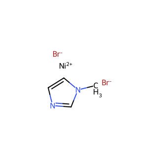 Cn1ccnc1.[Br-].[Br-].[Ni+2]